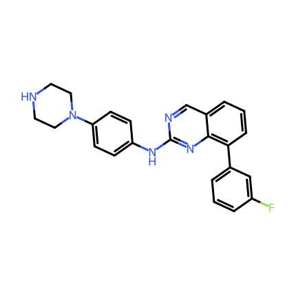 Fc1cccc(-c2cccc3cnc(Nc4ccc(N5CCNCC5)cc4)nc23)c1